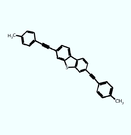 Cc1ccc(C#Cc2ccc3c(c2)sc2cc(C#Cc4ccc(C)cc4)ccc23)cc1